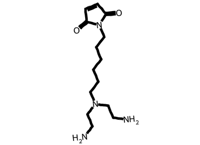 NCCN(CCN)CCCCCCN1C(=O)C=CC1=O